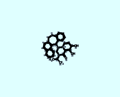 C[C@@H](N1CN([C@@H]2c3ccccc3SCc3ccc4ccccc4c32)N2C=CC(O)C(O)=C2C1=O)C(F)(F)F